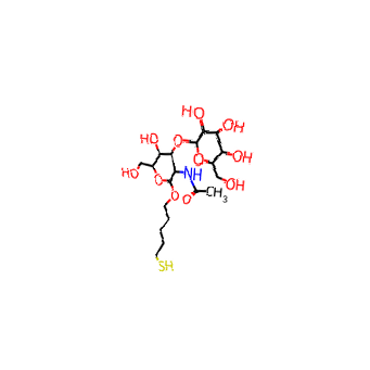 CC(=O)NC1C(OCCCCCS)OC(CO)C(O)C1OC1OC(CO)C(O)C(O)C1O